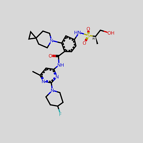 Cc1cc(NC(=O)c2ccc(NS(=O)(=O)[C@H](C)CO)cc2N2CCC3(CC2)CC3)nc(N2CCC(F)CC2)n1